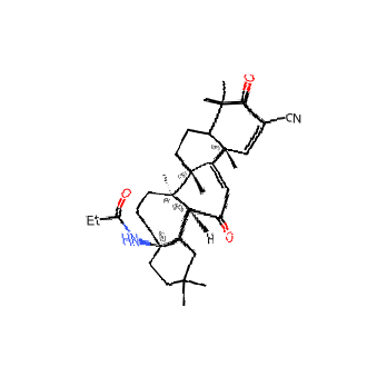 CCC(=O)N[C@]12CCC(C)(C)CC1[C@H]1C(=O)C=C3[C@@]4(C)C=C(C#N)C(=O)C(C)(C)C4CC[C@@]3(C)[C@]1(C)CC2